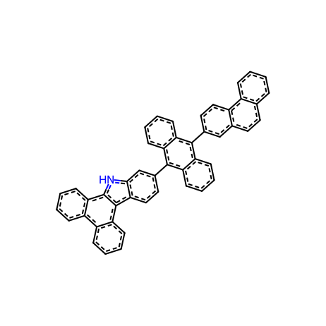 c1ccc2c(c1)ccc1cc(-c3c4ccccc4c(-c4ccc5c(c4)[nH]c4c6ccccc6c6ccccc6c54)c4ccccc34)ccc12